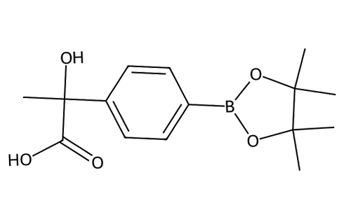 CC(O)(C(=O)O)c1ccc(B2OC(C)(C)C(C)(C)O2)cc1